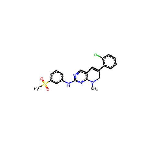 CN1CC(c2ccccc2Cl)=Cc2cnc(Nc3cccc(S(C)(=O)=O)c3)nc21